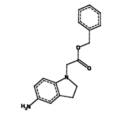 Nc1ccc2c(c1)CCN2CC(=O)OCc1ccccc1